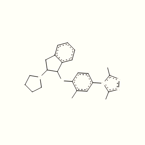 Cc1nnc(C)n1-c1ccc(OC2c3ccccc3CC2N2CCCC2)c(Cl)c1